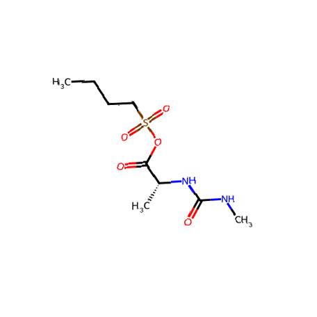 CCCCS(=O)(=O)OC(=O)[C@@H](C)NC(=O)NC